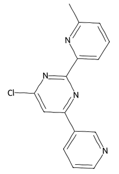 Cc1cccc(-c2nc(Cl)cc(-c3cccnc3)n2)n1